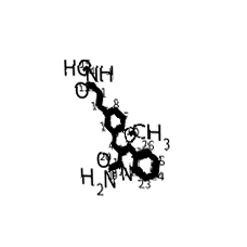 COc1c(Cc2cccc(C=CC(=O)NO)c2)c(C(N)=O)nc2ccccc12